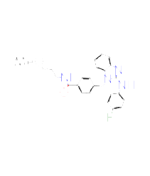 COCCCNC(=O)c1ccc(Cn2c(Nc3ccc(F)cc3)nc3ccccc32)cc1